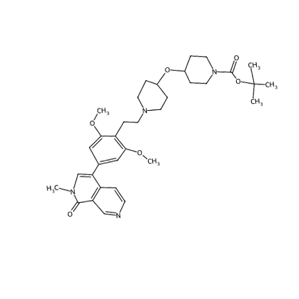 COc1cc(-c2cn(C)c(=O)c3cnccc23)cc(OC)c1CCN1CCC(OC2CCN(C(=O)OC(C)(C)C)CC2)CC1